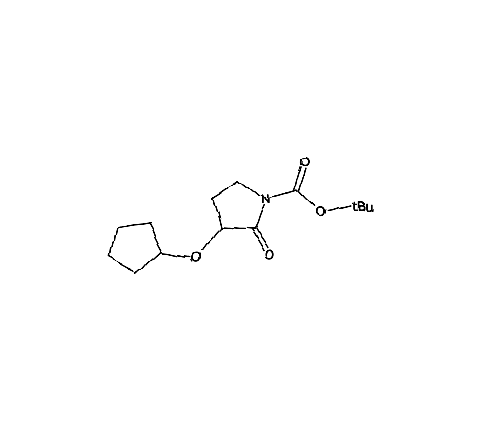 CC(C)(C)OC(=O)N1CCC(OC2CCCC2)C1=O